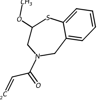 C=CC(=O)N1Cc2ccccc2SC(OC)C1